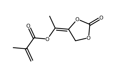 C=C(C)C(=O)OC(C)=C1COC(=O)O1